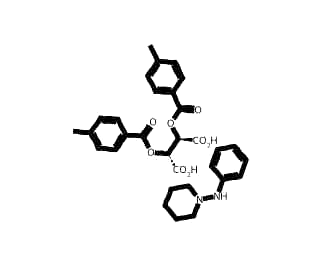 Cc1ccc(C(=O)O[C@@H](C(=O)O)[C@@H](OC(=O)c2ccc(C)cc2)C(=O)O)cc1.c1ccc(NN2CCCCC2)cc1